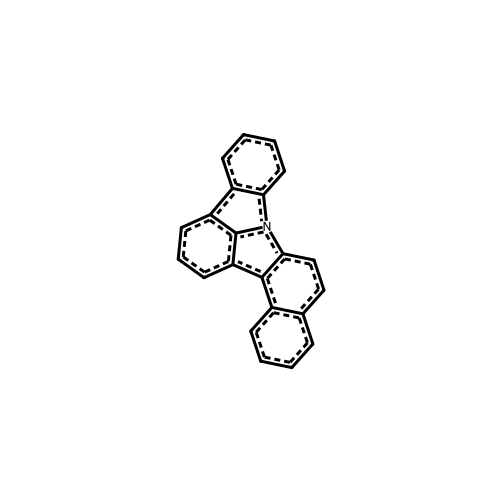 c1ccc2c(c1)ccc1c2c2cccc3c4ccccc4n1c32